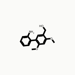 COc1cc(OC)c(-c2ccccc2N)cc1CO